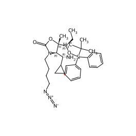 CC[C@@H](O[Si](c1ccccc1)(c1ccccc1)C(C)(C)C)[C@@]1(C)OC(=O)N(CCCCN=[N+]=[N-])[C@@H]1[C@H](N)C1CC1